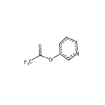 O=C(Oc1cccnc1)C(F)(F)F